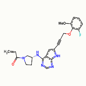 C=CC(=O)N1CC[C@@H](Nc2ncnc3[nH]c(C#CCOc4c(F)cccc4OC)cc23)C1